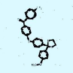 COc1ccc(C2(c3ccc(Oc4ccc(C(=O)c5ccc(C)cc5)cc4)cc3)OCCO2)cc1